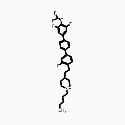 CCCCC[SiH]1CCC(CCc2ccc(-c3ccc(-c4cc(F)c(OC(F)F)c(F)c4)cc3)cc2F)CC1